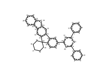 c1ccc(-c2nc(-c3ccccc3)nc(-c3ccc4c(c3)-c3cc5sc6ccccc6c5cc3C43CCCCC3)n2)cc1